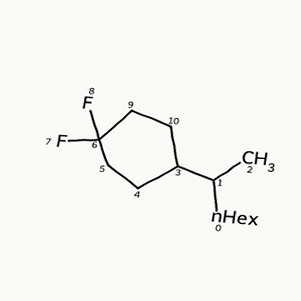 CCCCCCC(C)C1CCC(F)(F)CC1